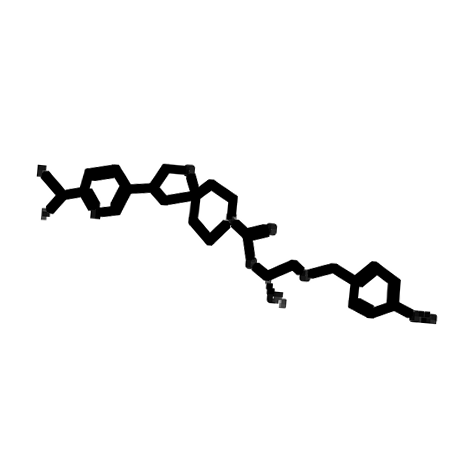 COc1ccc(COC[C@@H](OC(=O)N2CCC3(CC2)CC(c2ccc(C(F)F)nc2)CO3)C(F)(F)F)cc1